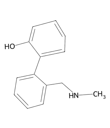 CNCc1ccccc1-c1ccccc1O